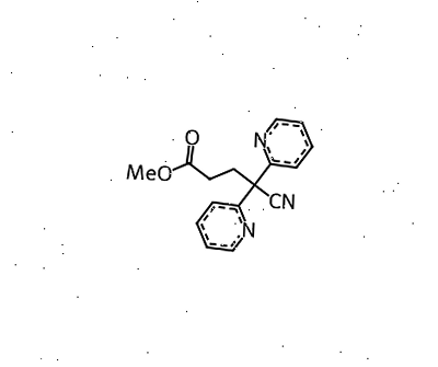 COC(=O)CCC(C#N)(c1ccccn1)c1ccccn1